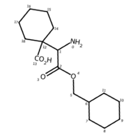 NC(C(=O)OCC1CCCCC1)C1(C(=O)O)CCCCC1